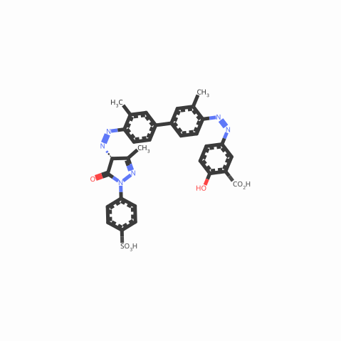 CC1=NN(c2ccc(S(=O)(=O)O)cc2)C(=O)[C@@H]1/N=N\c1ccc(-c2ccc(/N=N\c3ccc(O)c(C(=O)O)c3)c(C)c2)cc1C